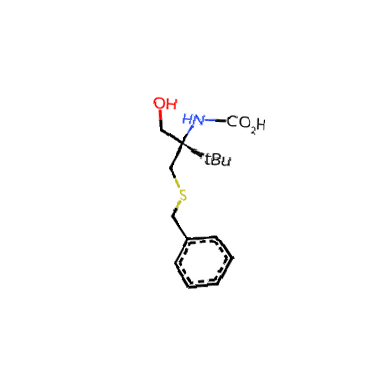 CC(C)(C)[C@](CO)(CSCc1ccccc1)NC(=O)O